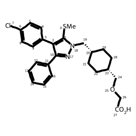 CSc1c(-c2ccc(Cl)cc2)c(-c2ccccc2)nn1C[C@H]1CC[C@@H](COCC(=O)O)CC1